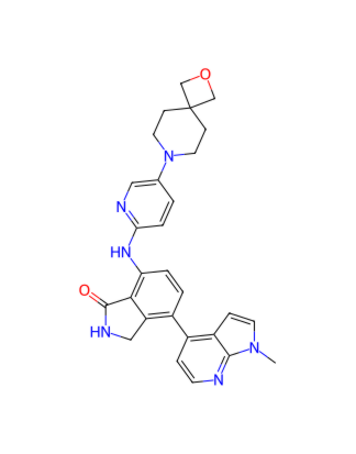 Cn1ccc2c(-c3ccc(Nc4ccc(N5CCC6(CC5)COC6)cn4)c4c3CNC4=O)ccnc21